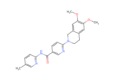 COc1cc2c(cc1OC)CN(c1ccc(C(=O)Nc3ccc(C)cn3)cn1)CC2